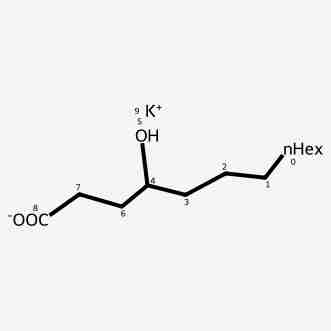 CCCCCCCCCC(O)CCC(=O)[O-].[K+]